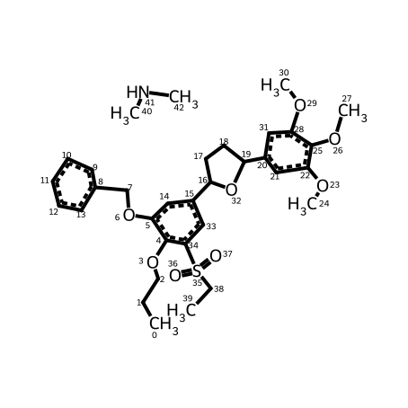 CCCOc1c(OCc2ccccc2)cc(C2CCC(c3cc(OC)c(OC)c(OC)c3)O2)cc1S(=O)(=O)CC.CNC